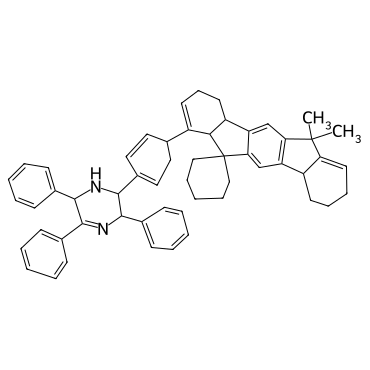 CC1(C)C2=CCCCC2c2cc3c(cc21)C1CCC=C(C2C=CC(C4NC(c5ccccc5)C(c5ccccc5)=NC4c4ccccc4)=CC2)C1C31CCCCC1